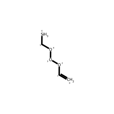 C=COOOC[SiH3]